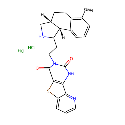 COc1cccc2c1CC[C@H]1CNC(CCn3c(=O)[nH]c4c(sc5cccnc54)c3=O)[C@@H]21.Cl.Cl